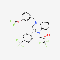 O[C@H](CN1c2ccccc2N(Cc2cccc(OC(F)(F)F)c2)C[C@H]1c1ccc(C(F)(F)F)cc1)C(F)(F)F